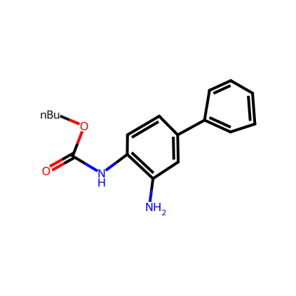 CCCCOC(=O)Nc1ccc(-c2ccccc2)cc1N